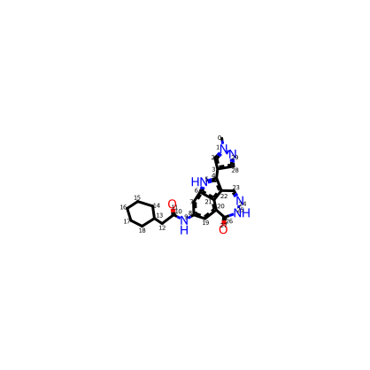 Cn1cc(-c2[nH]c3cc(NC(=O)CC4CCCCC4)cc4c3c2C=NNC4=O)cn1